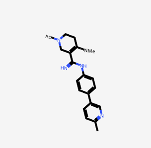 CNC1=C(C(=N)Nc2ccc(-c3ccc(C)nc3)cc2)CN(C(C)=O)CC1